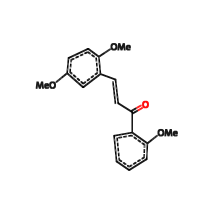 COc1ccc(OC)c(/C=C/C(=O)c2ccccc2OC)c1